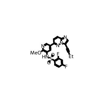 CCC#Cc1cnc2ccc(-c3cnc(OC)c(NS(=O)(=O)c4ccc(F)cc4F)c3)nn12